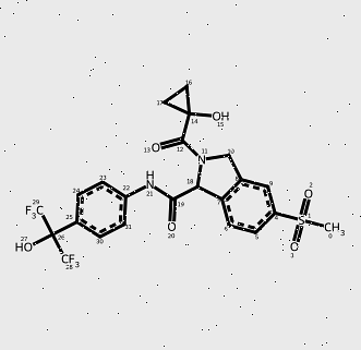 CS(=O)(=O)c1ccc2c(c1)CN(C(=O)C1(O)CC1)C2C(=O)Nc1ccc(C(O)(C(F)(F)F)C(F)(F)F)cc1